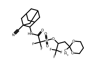 CC1(CC(OS(=O)(=O)C(F)(F)C(=O)NC2C3CC4CC(C3)CC2(C#N)C4)C(F)(F)F)OCCCO1